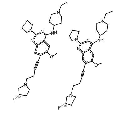 CCN1CCC(Nc2nc(N3CCCC3)nc3cc(C#CCCN4CC[C@H](F)C4)c(OC)cc23)CC1.CCN1CCC(Nc2nc(N3CCCC3)nc3cc(C#CCCN4CC[C@H](F)C4)c(OC)cc23)CC1